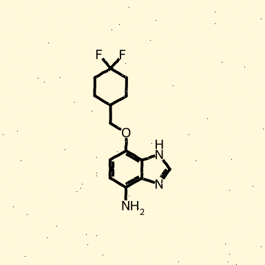 Nc1ccc(OCC2CCC(F)(F)CC2)c2[nH]cnc12